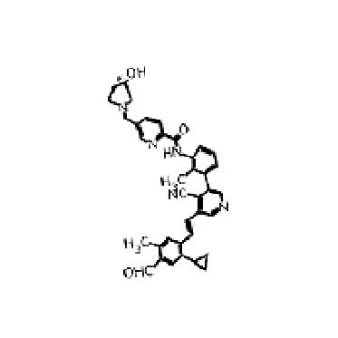 Cc1cc(/C=C/c2cncc(-c3cccc(NC(=O)c4ccc(CN5CC[C@@H](O)C5)cn4)c3C)c2C#N)c(C2CC2)cc1C=O